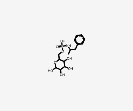 CC(Cc1ccccc1)NP(=O)(O)OCC1OC(O)C(O)C(O)C1O